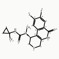 CN(C(=O)NC1(C(F)(F)F)CC1)[C@@H]1COCc2[nH]c(=O)c3cc(F)c(F)cc3c21